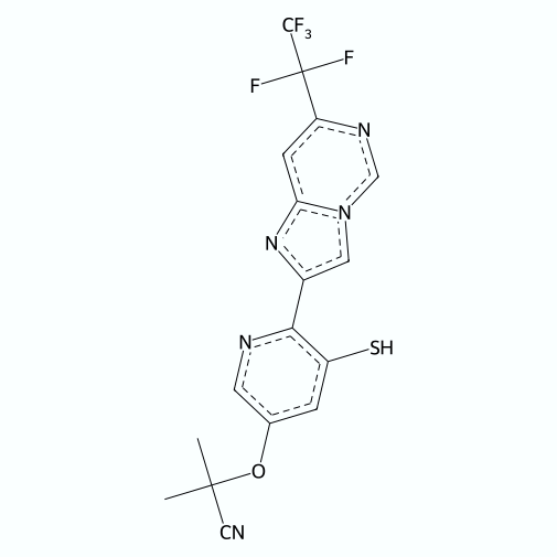 CC(C)(C#N)Oc1cnc(-c2cn3cnc(C(F)(F)C(F)(F)F)cc3n2)c(S)c1